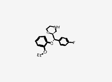 CCOc1ccccc1O[C@@H](c1ccc(F)cc1)[C@@H]1CNCCO1